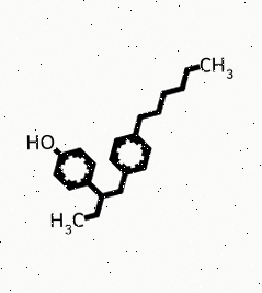 CCCCCCc1ccc(CC(CC)c2ccc(O)cc2)cc1